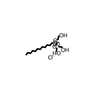 CCCCCCCCCCCC[N+](OCCO)(OCCO)OCCO.[Cl-]